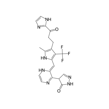 Cc1[nH]c(C=C2NC=CN=C2C2C=NNC2=O)c(C(F)(F)F)c1CCC(=O)c1ncc[nH]1